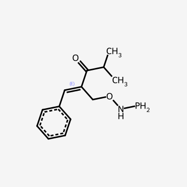 CC(C)C(=O)/C(=C/c1ccccc1)CONP